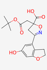 CC(C)(C)OC(=O)CC1(C(=O)O)CC(c2cc(O)cc3c2CCO3)=NO1